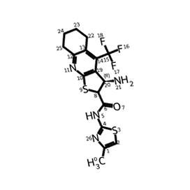 Cc1csc(NC(=O)C2Sc3nc4c(c(C(F)(F)F)c3[C@H]2N)CCCC4)n1